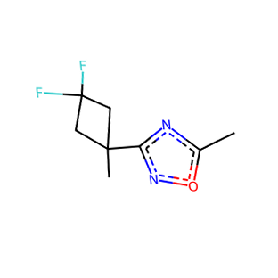 Cc1nc(C2(C)CC(F)(F)C2)no1